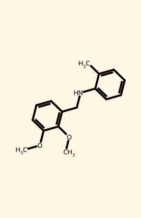 [CH2]c1ccccc1NCc1cccc(OC)c1OC